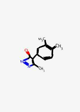 CC1=C(c2ccc(C)c(C)c2)C(=O)N=N1